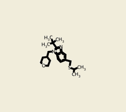 CC(C)SCc1ccc2c(c1)nc(C(C)(C)C)n2CC1CCOCC1